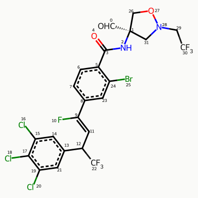 O=C[C@]1(NC(=O)c2ccc(/C(F)=C/C(c3cc(Cl)c(Cl)c(Cl)c3)C(F)(F)F)cc2Br)CON(CC(F)(F)F)C1